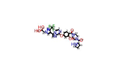 O=C(c1ccc(Oc2nccn3c(-c4cn(CC(O)O)nc4C(F)(F)F)cnc23)cc1O)N1CCN(C(=O)[C@@H]2CCCN2)CC1